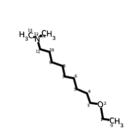 CCOCCCCCCCCCN(C)C